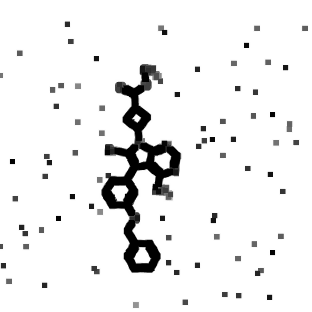 COC(=O)C1CC(n2c(Br)c(-c3cccc(OCc4ccccc4)c3)c3c(N)ncnc32)C1